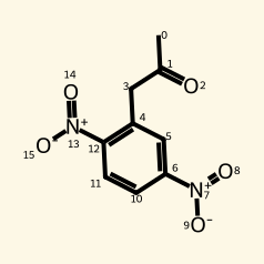 CC(=O)Cc1cc([N+](=O)[O-])ccc1[N+](=O)[O-]